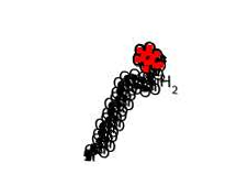 C[SiH](O[SiH2][Si](=O)[Si](=O)[Si](=O)[Si](=O)[Si](=O)[Si](=O)[Si](=O)[Si](=O)[Si](=O)[Si](=O)[Si](=O)[Si](=O)[Si](=O)[Si](=O)[Si](=O)[Si](=O)[Si](=O)[Si](=O)[Si](=O)[Si](=O)[Si](=O)[Si](=O)[Si](=O)[Si](=O)[Si](=O)[Si](C)(C)O[Si](C)(C)C)[Si](=O)[Si](=O)[Si](=O)[Si](=O)[Si](=O)[Si](=O)[Si](=O)[Si](=O)[Si](=O)[Si](=O)[Si](=O)[Si](=O)[Si](=O)[SiH2]O[Si](C)(C)C